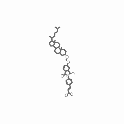 CC(C)CCCC(C)C1CCC2C3CCC4CC(OCOc5ccc6c(c5)C(=O)N(c5ccc(C=CC(=O)O)cc5)C6=O)CCC4(C)C3CCC12C